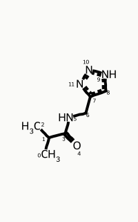 CC(C)C(=O)NCc1c[nH]nn1